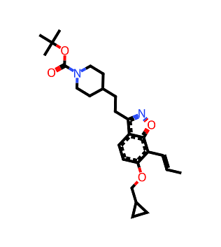 CC=Cc1c(OCC2CC2)ccc2c(CCC3CCN(C(=O)OC(C)(C)C)CC3)noc12